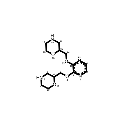 c1cnc(OCC2CNCCO2)c(OCC2CNCCO2)n1